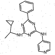 CC(Nc1nc(Nc2ccncc2)nc(-c2ccccc2)n1)C1CC1